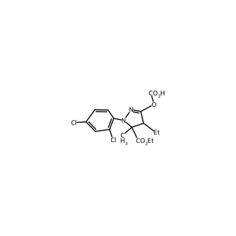 CCOC(=O)C1(C)C(CC)C(OC(=O)O)=NN1c1ccc(Cl)cc1Cl